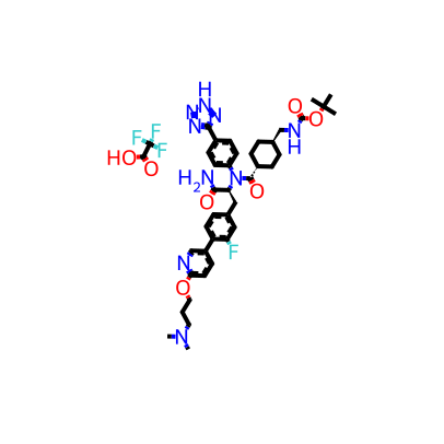 CN(C)CCCOc1ccc(-c2ccc(C[C@@H](C(N)=O)N(c3ccc(-c4nn[nH]n4)cc3)C(=O)[C@H]3CC[C@H](CNC(=O)OC(C)(C)C)CC3)cc2F)cn1.O=C(O)C(F)(F)F